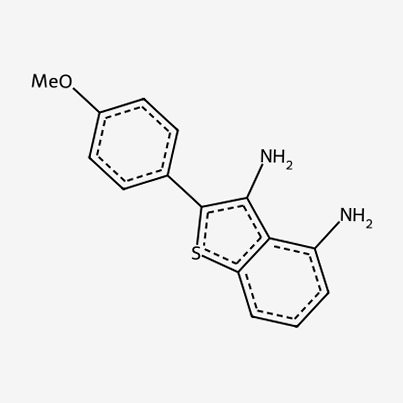 COc1ccc(-c2sc3cccc(N)c3c2N)cc1